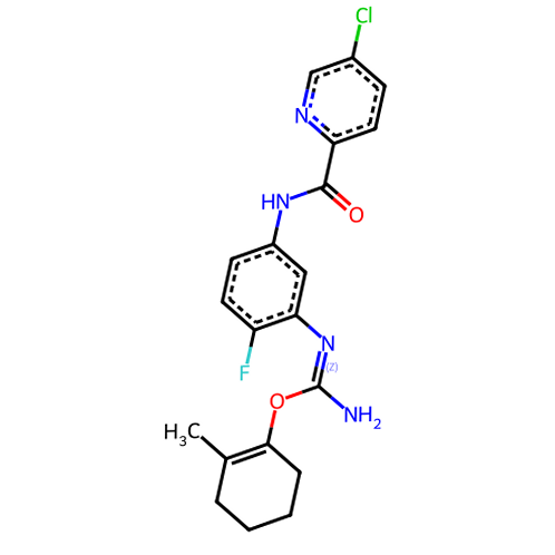 CC1=C(O/C(N)=N\c2cc(NC(=O)c3ccc(Cl)cn3)ccc2F)CCCC1